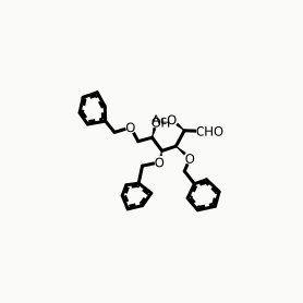 CC(=O)O[C@@H](C=O)[C@@H](OCc1ccccc1)[C@H](OCc1ccccc1)[C@H](O)COCc1ccccc1